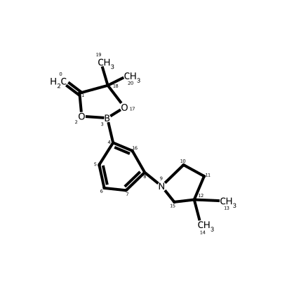 C=C1OB(c2cccc(N3CCC(C)(C)C3)c2)OC1(C)C